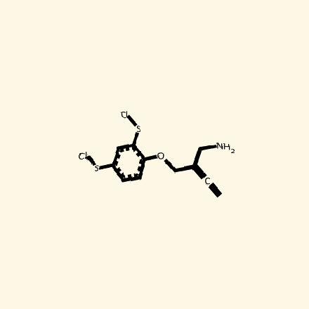 C=C=C(CN)COc1ccc(SCl)cc1SCl